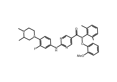 COc1ccccc1ON(C(=O)c1cnc(Nc2ccc(N3CCN(C)C(C)C3)c(F)c2)nc1)c1c(C)cccc1C